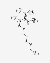 CCCCCCCCN(C)C(=NC)N(C)C